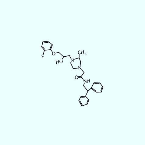 CC1CN(CC(=O)NCC(c2ccccc2)c2ccccc2)CCN1CC(O)COc1ccccc1F